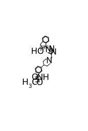 CS(=O)(=O)Nc1cccc(C2CCN(Cc3cn([C@H]4c5ccccc5C[C@@H]4O)nn3)CC2)c1